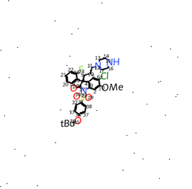 COc1cc2c(cc1Cl)C(CCCN1CCNCC1)(c1ccccc1F)C(=O)N2S(=O)(=O)c1ccc(OC(C)(C)C)cc1